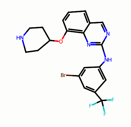 FC(F)(F)c1cc(Br)cc(Nc2ncc3cccc(OC4CCNCC4)c3n2)c1